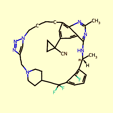 Cc1nc2c3cc(C4(C#N)CC4)cc(c3n1)CCCCn1cc(nn1)CN1CCC(CC1)C(F)(F)c1cccc(c1F)[C@@H](C)N2